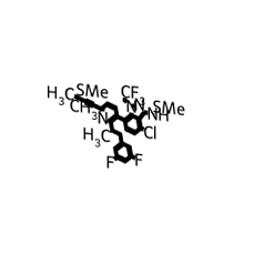 CSNc1nn(CC(F)(F)F)c2c(-c3ccc(C#CC(C)(C)SC)nc3[C@@H](C)Cc3cc(F)cc(F)c3)ccc(Cl)c12